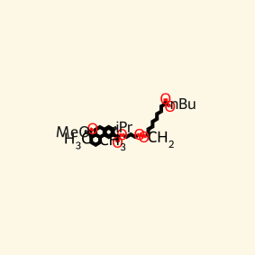 C=C(CCCCCCCC(=O)OCCCC)OOCCCOC(=O)c1cc2c(cc1C(C)C)CCC1C(C)(C(=O)OC)CCCC21C